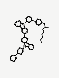 CCCCCCC(C)Cc1ccc(-c2cccc(-n3c4ccccc4c4cc(-c5ccc6c(c5)c5ccccc5n6-c5ccc(-c6ccccc6)cc5)ccc43)c2)cc1